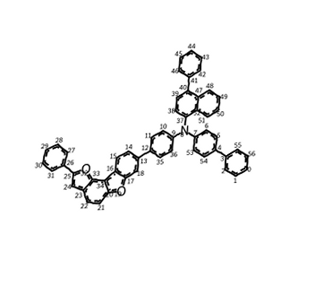 c1ccc(-c2ccc(N(c3ccc(-c4ccc5c(c4)oc4ccc6cc(-c7ccccc7)oc6c45)cc3)c3ccc(-c4ccccc4)c4ccccc34)cc2)cc1